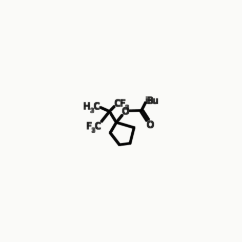 CCC(C)C(=O)OC1(C(C)(C(F)(F)F)C(F)(F)F)CCCC1